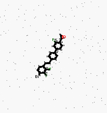 CCc1ccc(/C=C/c2ccc(-c3ccc(C4CO4)c(F)c3)cc2)c(F)c1F